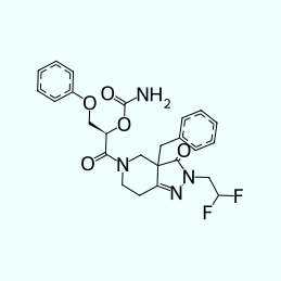 NC(=O)O[C@H](COc1ccccc1)C(=O)N1CCC2=NN(CC(F)F)C(=O)C2(Cc2ccccc2)C1